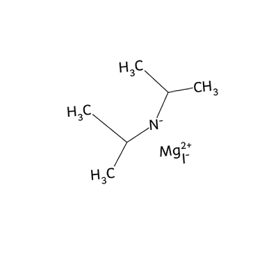 CC(C)[N-]C(C)C.[I-].[Mg+2]